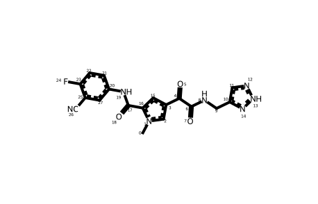 Cn1cc(C(=O)C(=O)NCc2cn[nH]n2)cc1C(=O)Nc1ccc(F)c(C#N)c1